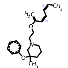 C=C(/C=C\C=C/C)OCCN1CCCC(C)(Oc2ccccc2)C1